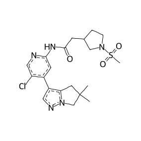 CC1(C)Cc2c(-c3cc(NC(=O)CC4CCN(S(C)(=O)=O)C4)ncc3Cl)cnn2C1